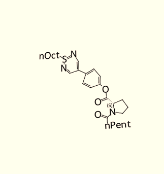 CCCCCCCCS1=NC=C(c2ccc(OC(=O)[C@@H]3CCCN3C(=O)CCCCC)cc2)C=N1